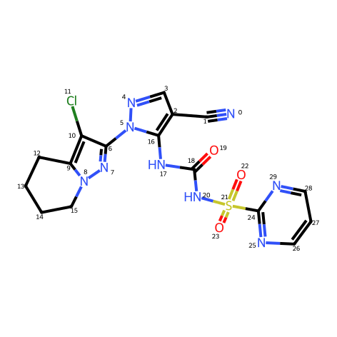 N#Cc1cnn(-c2nn3c(c2Cl)CCCC3)c1NC(=O)NS(=O)(=O)c1ncccn1